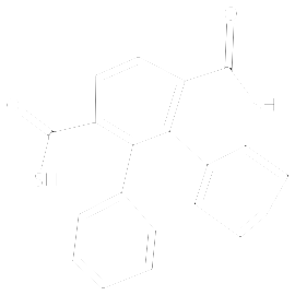 O=C(S)c1ccc(C(=O)S)c(-c2ccccc2)c1-c1ccccc1